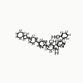 C[C@H]1c2c([nH]c3nnc(-c4ccccc4O)cc23)CCN1c1ncc(C2CCN(C3CC4(CCCCC4)C3)CC2)cn1